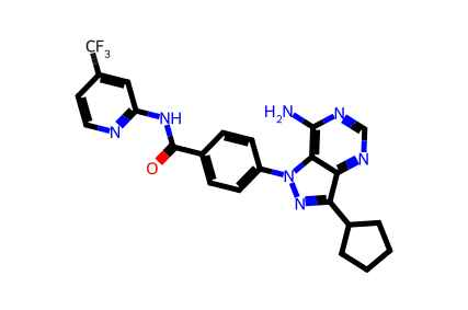 Nc1ncnc2c(C3CCCC3)nn(-c3ccc(C(=O)Nc4cc(C(F)(F)F)ccn4)cc3)c12